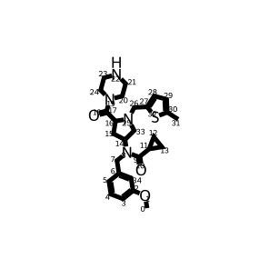 COc1cccc(CN(C(=O)C2CC2)C2CC(C(=O)N3CCNCC3)N(Cc3ccc(C)s3)C2)c1